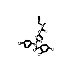 C#CCN(C)C(=O)Oc1csc(N(C(=O)c2ccc(Cl)cc2Cl)c2ccc(Cl)cc2)n1